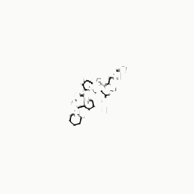 CC(C)[C@@H](CN1CCC[C@H]1C(=O)N1CCCC1C(=O)N1CCCCC1)N(C)C(=O)CNC=O